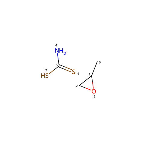 CC1CO1.NC(=S)S